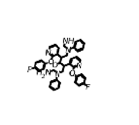 NCN(CC(C(=O)C(CN(CN)c1ccccc1)c1cccnc1Oc1ccc(F)cc1)c1cccnc1Oc1ccc(F)cc1)c1ccccc1